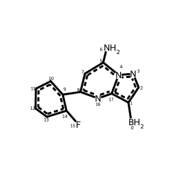 Bc1cnn2c(N)cc(-c3ccccc3F)nc12